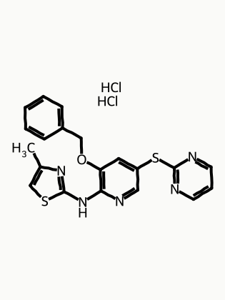 Cc1csc(Nc2ncc(Sc3ncccn3)cc2OCc2ccccc2)n1.Cl.Cl